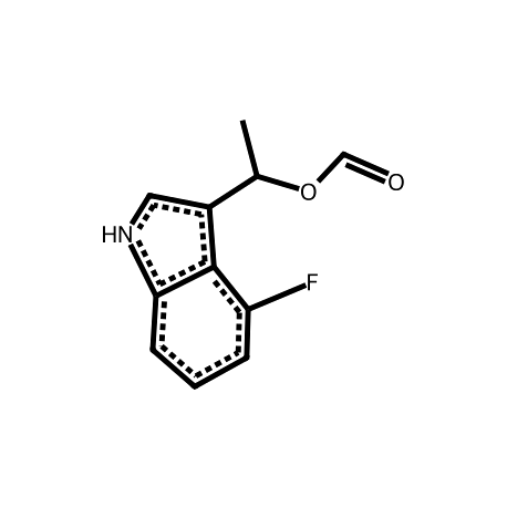 CC(OC=O)c1c[nH]c2cccc(F)c12